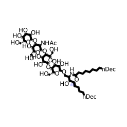 CCCCCCCCCCCCC/C=C/C(O)C(COC1O[C@H](CO)[C@@H](O[C@@H]2O[C@H](CO)[C@H](O[C@@H]3O[C@H](CO)[C@H](O)[C@H](O[C@@H]4O[C@H](CO)[C@H](O)[C@H](O)[C@H]4O)[C@H]3NC(C)=O)[C@H](O)[C@H]2O)[C@H](O)[C@H]1O)NC(=O)CCCCCCCCCCCCCCCCC